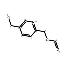 O=COCc1ccc(CCl)cn1